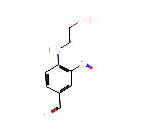 O=Cc1ccc(NCCO)c(N=O)c1